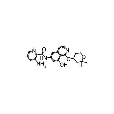 CC1(C)CC(Oc2nccc3cc(NC(=O)c4ncccc4N)cc(O)c23)CCO1